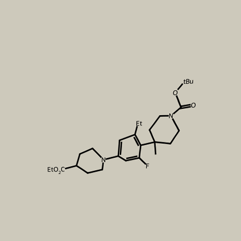 CCOC(=O)C1CCN(c2cc(F)c(C3(C)CCN(C(=O)OC(C)(C)C)CC3)c(CC)c2)CC1